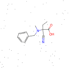 CCC(C#N)(C(=O)O)N(C)Cc1ccccc1